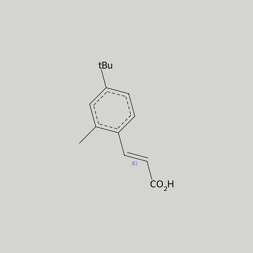 Cc1cc(C(C)(C)C)ccc1/C=C/C(=O)O